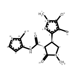 CN1C[C@H](c2nn(C)c(Cl)c2Br)[C@@H](C(=O)Nc2ccsc2F)C1=O